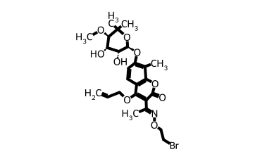 C=CCOc1c(/C(C)=N/OCCBr)c(=O)oc2c(C)c(O[C@@H]3OC(C)(C)[C@H](OC)[C@@H](O)[C@H]3O)ccc12